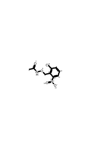 CC(=O)NOCc1c(Cl)cccc1[N+](=O)[O-]